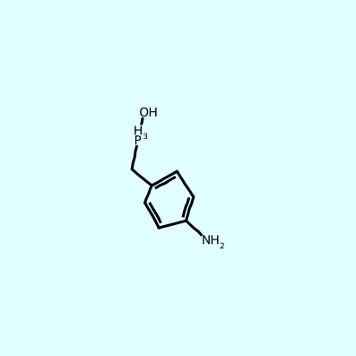 Nc1ccc(C[PH3]O)cc1